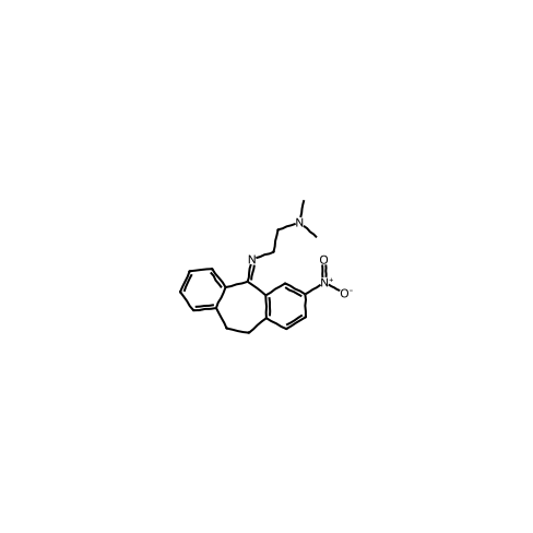 CN(C)CC/N=C1/c2ccccc2CCc2ccc([N+](=O)[O-])cc21